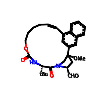 CO[C@@]12C[C@@H](C=O)N(C1)C(=O)[C@H](C(C)(C)C)NC(=O)OCCCCC=Cc1cc2cc2ccccc12